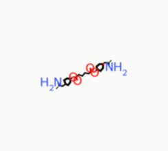 C[C@@H](N)Cc1ccc(OC(=O)CCCCC(=O)Oc2ccc(C[C@@H](C)N)cc2)cc1